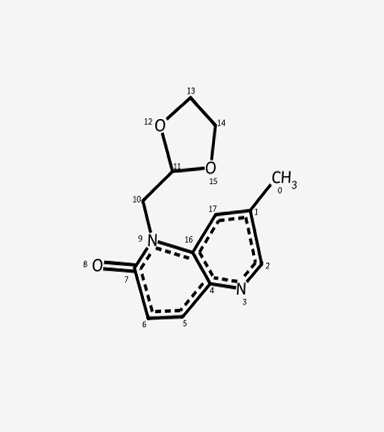 Cc1cnc2ccc(=O)n(CC3OCCO3)c2c1